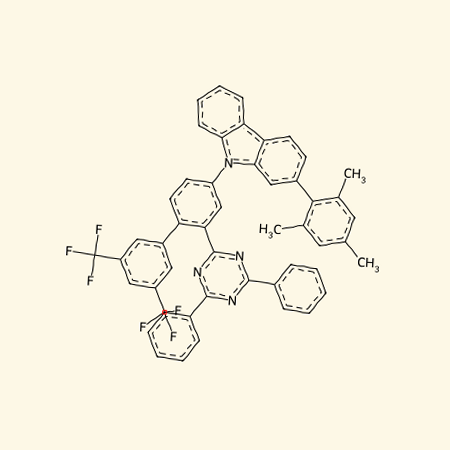 Cc1cc(C)c(-c2ccc3c4ccccc4n(-c4ccc(-c5cc(C(F)(F)F)cc(C(F)(F)F)c5)c(-c5nc(-c6ccccc6)nc(-c6ccccc6)n5)c4)c3c2)c(C)c1